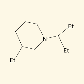 CCC1CCCN(C(CC)CC)C1